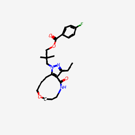 CCc1nn(CC(C)(C)COC(=O)c2ccc(F)cc2)c2c1C(=O)NCCCOCCC2